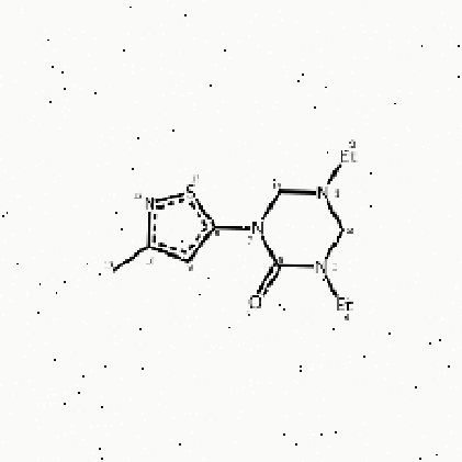 CCN1CN(CC)C(=O)N(c2cc(C)ns2)C1